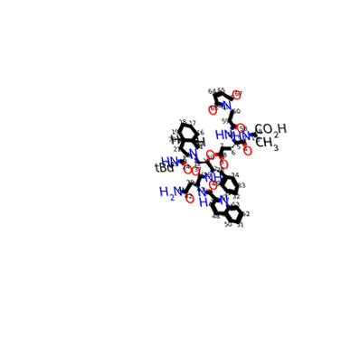 C[C@H](NC(=O)[C@H](CCC(=O)O[C@H](CN1C[C@H]2CCCC[C@H]2C[C@H]1C(=O)NC(C)(C)C)[C@H](Cc1ccccc1)NC(=O)[C@H](CC(N)=O)NC(=O)c1ccc2ccccc2n1)NC(=O)CCN1C(=O)C=CC1=O)C(=O)O